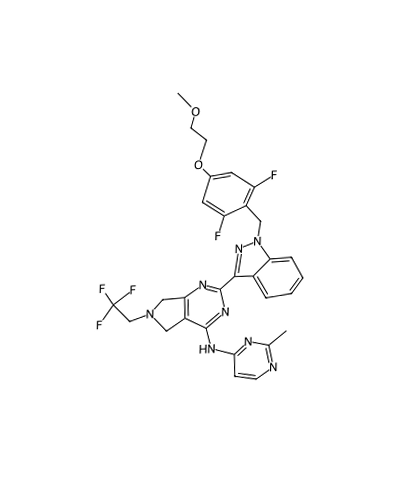 COCCOc1cc(F)c(Cn2nc(-c3nc4c(c(Nc5ccnc(C)n5)n3)CN(CC(F)(F)F)C4)c3ccccc32)c(F)c1